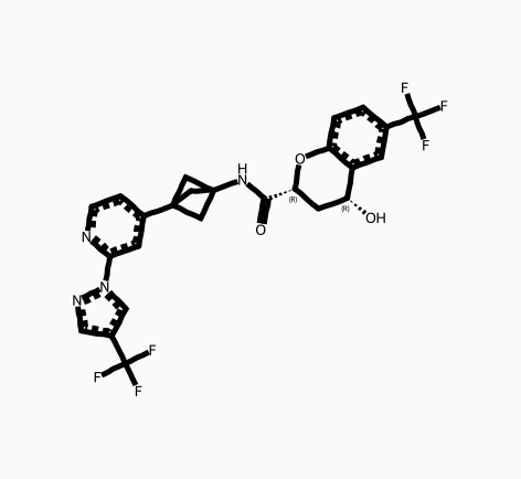 O=C(NC12CC(c3ccnc(-n4cc(C(F)(F)F)cn4)c3)(C1)C2)[C@H]1C[C@@H](O)c2cc(C(F)(F)F)ccc2O1